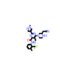 Cc1cccc(-n2ncc3c(N4CCNC(CC#N)C4)nc(-c4cnn(C)c4)nc3c2=O)c1C(F)(F)F